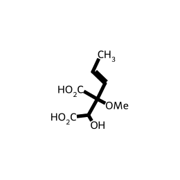 CC=CC(OC)(C(=O)O)C(O)C(=O)O